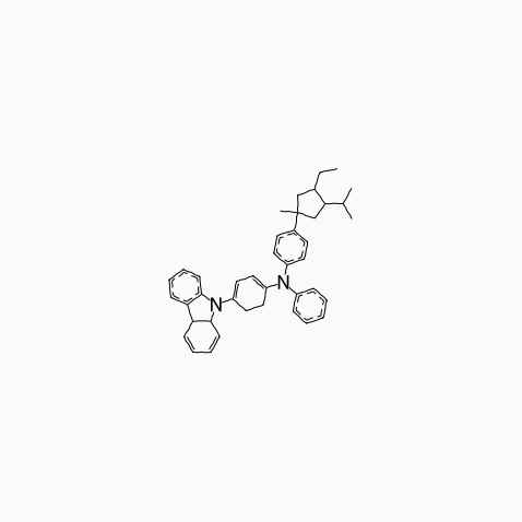 CCC1CC(C)(c2ccc(N(C3=CC=C(N4c5ccccc5C5C=CC=CC54)CC3)c3ccccc3)cc2)CC1C(C)C